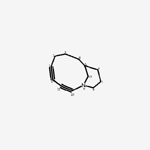 C1#CCCCC2CCCN(C#C1)C2